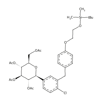 CC(=O)OC[C@H]1O[C@@H](c2ccc(Cl)c(Cc3ccc(OCCO[Si](C)(C)C(C)(C)C)cc3)c2)[C@H](OC(C)=O)[C@@H](OC(C)=O)[C@@H]1OC(C)=O